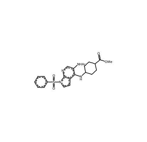 COC(=O)C1CCC(Nc2c(NC(C)=O)cnc3c2ccn3S(=O)(=O)c2ccccc2)CC1